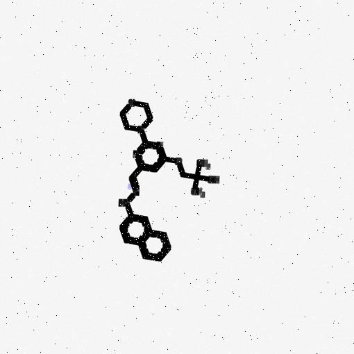 CC(C)(O)COc1cc(/C=N/Nc2ccc3ccccc3c2)nc(N2CCOCC2)n1